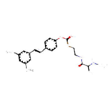 COc1cc(/C=C/c2ccc(OC(=O)SCCNC(=O)C(NC(=O)O)C(C)C)cc2)cc(OC)c1